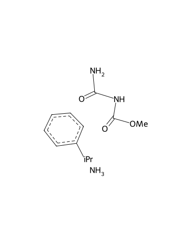 CC(C)c1ccccc1.COC(=O)NC(N)=O.N